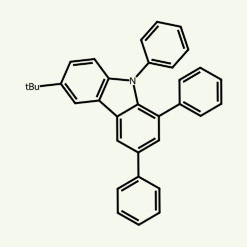 CC(C)(C)c1ccc2c(c1)c1cc(-c3ccccc3)cc(-c3ccccc3)c1n2-c1ccccc1